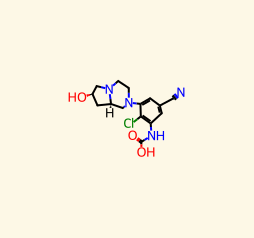 N#Cc1cc(NC(=O)O)c(Cl)c(N2CCN3C[C@H](O)C[C@@H]3C2)c1